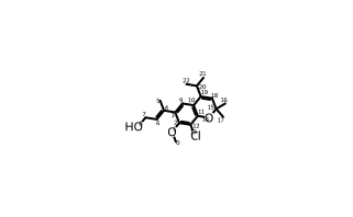 COc1c(C(C)=CCO)cc2c(c1Cl)OC(C)(C)C=C2C(C)C